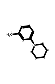 [CH2]c1cccc(N2CC[CH]CC2)c1